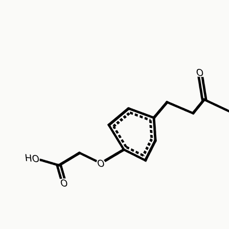 CC(=O)CCc1ccc(OCC(=O)O)cc1